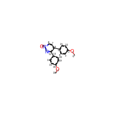 COc1ccc(-c2cc[n+]([O-])nc2-c2ccc(OC)cc2)cc1